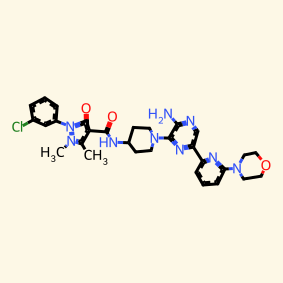 Cc1c(C(=O)NC2CCN(c3nc(-c4cccc(N5CCOCC5)n4)cnc3N)CC2)c(=O)n(-c2cccc(Cl)c2)n1C